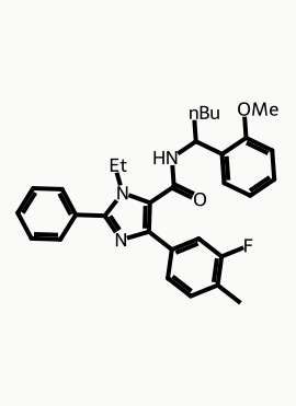 CCCCC(NC(=O)c1c(-c2ccc(C)c(F)c2)nc(-c2ccccc2)n1CC)c1ccccc1OC